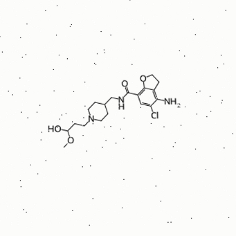 COC(O)CCN1CCC(CNC(=O)c2cc(Cl)c(N)c3c2OCC3)CC1